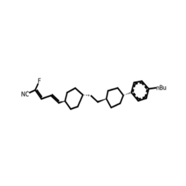 CCCCc1ccc([C@H]2CC[C@H](CC[C@H]3CC[C@H](/C=C/C=C(\F)C#N)CC3)CC2)cc1